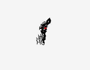 OCC(O)CNCc1ccc2c(c1)CCc1c-2noc1-c1noc(-c2ccccc2)c1C(F)(F)F